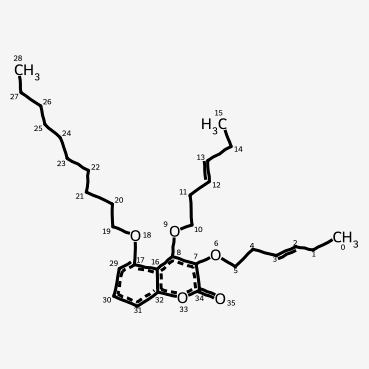 CCC=CCCOc1c(OCCC=CCC)c2c(OCCCCCCCCCC)cccc2oc1=O